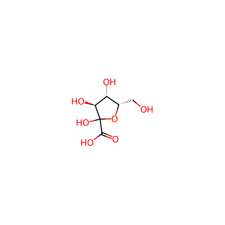 O=C(O)C1(O)O[C@@H](CO)[C@@H](O)[C@@H]1O